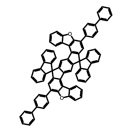 c1ccc(-c2ccc(-c3cc4c(c5c3oc3ccccc35)-c3cc5c(cc3C43c4ccccc4-c4ccccc43)-c3c(cc(-c4ccc(-c6ccccc6)cc4)c4oc6ccccc6c34)C53c4ccccc4-c4ccccc43)cc2)cc1